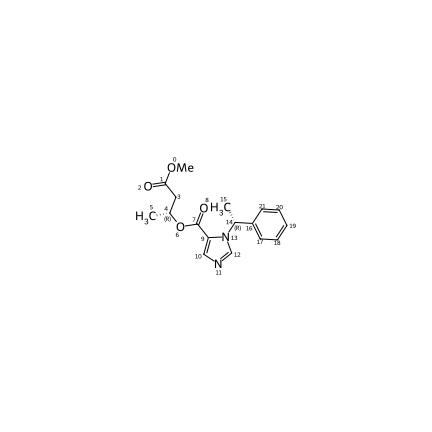 COC(=O)C[C@@H](C)OC(=O)c1cncn1[C@H](C)c1ccccc1